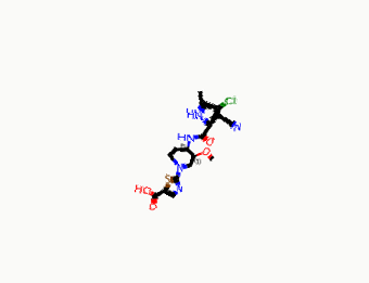 CO[C@H]1CN(c2ncc(C(=O)O)s2)CC[C@H]1NC(=O)c1[nH]c(C)c(Cl)c1C#N